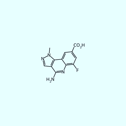 Cn1ncc2c(N)nc3c(F)cc(C(=O)O)cc3c21